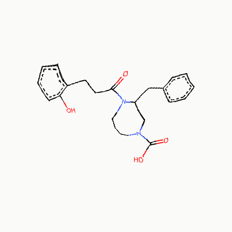 O=C(O)N1CCN(C(=O)CCc2ccccc2O)C(Cc2ccccc2)C1